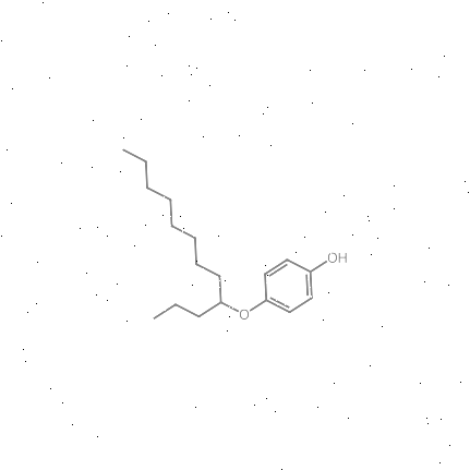 CCCCCCCCC(CCC)Oc1ccc(O)cc1